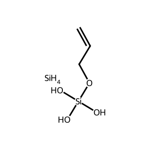 C=CCO[Si](O)(O)O.[SiH4]